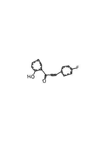 O=C(C#Cc1ccc(F)cc1)c1ccccc1O